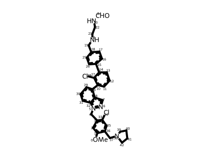 COc1cc(Cn2ncc3c(-c4cccc(-c5ccc(CNCCNC=O)cc5)c4Cl)cccc32)c(Cl)cc1CN1CCCC1